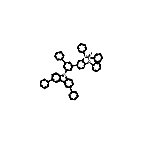 O=P1(c2ccccc2)N(c2ccccc2)c2ccc(-c3cc(-c4ccccc4)cc(-n4c5ccc(-c6ccccc6)cc5c5cc(-c6ccccc6)ccc54)c3)cc2N1c1ccccc1